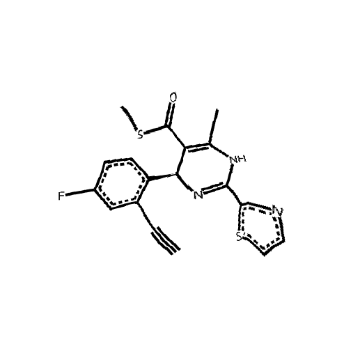 C#Cc1cc(F)ccc1[C@@H]1N=C(c2nccs2)NC(C)=C1C(=O)SC